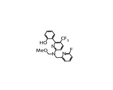 COCN(Cc1cccc(F)n1)c1ccc(C(F)(F)F)c(-c2ccccc2O)n1